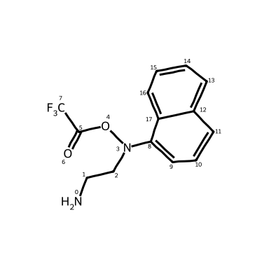 NCCN(OC(=O)C(F)(F)F)c1cccc2ccccc12